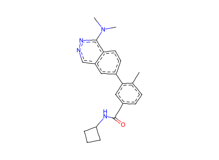 Cc1ccc(C(=O)NC2CCC2)cc1-c1ccc2c(N(C)C)nncc2c1